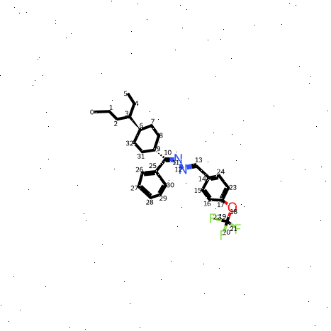 CCCC(CC)[C@H]1CC[C@H](C(=NN=Cc2ccc(OC(F)(F)F)cc2)c2ccccc2)CC1